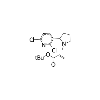 C=CC(=O)OC(C)(C)C.CN1CCCC1c1ccc(Cl)nc1Cl